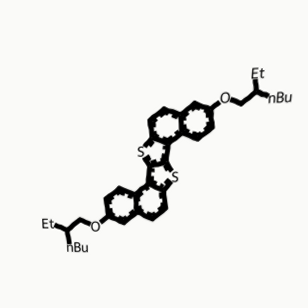 CCCCC(CC)COc1ccc2c(ccc3sc4c(sc5ccc6cc(OCC(CC)CCCC)ccc6c54)c32)c1